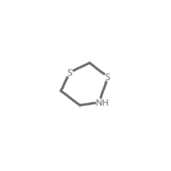 [CH]1CSCSN1